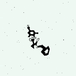 Cc1cc(C#N)cc(C)c1NC(=O)C1(C(=O)OCc2ccccc2)CC1